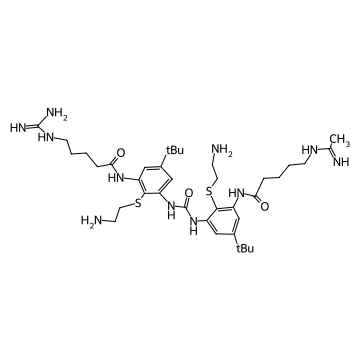 CC(=N)NCCCCC(=O)Nc1cc(C(C)(C)C)cc(NC(=O)Nc2cc(C(C)(C)C)cc(NC(=O)CCCCNC(=N)N)c2SCCN)c1SCCN